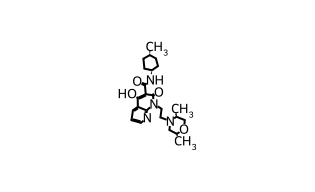 C[C@@H]1CN(CCn2c(=O)c(C(=O)N[C@H]3CC[C@@H](C)CC3)c(O)c3cccnc32)[C@@H](C)CO1